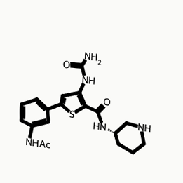 CC(=O)Nc1cccc(-c2cc(NC(N)=O)c(C(=O)N[C@H]3CCCNC3)s2)c1